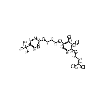 FC(F)(F)c1cnc(OCCCOc2ccc(OCC=C(Cl)Cl)c(Cl)c2Cl)nc1